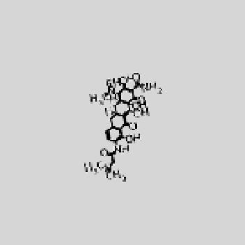 CN(C)CC(=O)Nc1ccc2c(c1O)C(=O)C1=C(O)[C@@]3(O)C(=O)C(C(N)=O)=C(O)[C@@H](N(C)C)[C@H]3C[C@H]1C2